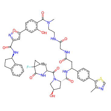 Cc1ncsc1-c1ccc(C(CC(=O)NCC(=O)NCCN(C)C(=O)c2ccc(-c3cc(C(=O)N[C@@H]4CCc5ccccc54)no3)cc2O)NC(=O)[C@@H]2C[C@@H](O)CN2C(=O)C(NC(=O)C2(F)CC2)C(C)(C)C)cc1